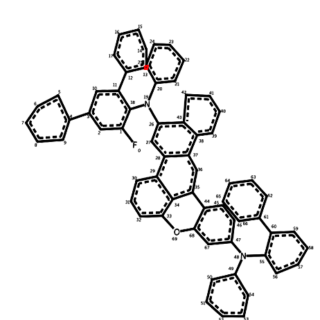 Fc1cc(-c2ccccc2)cc(-c2ccccc2)c1N(c1ccccc1)c1cc2c3cccc4c3c(cc2c2ccccc12)-c1ccc(N(c2ccccc2)c2ccccc2-c2ccccc2)cc1O4